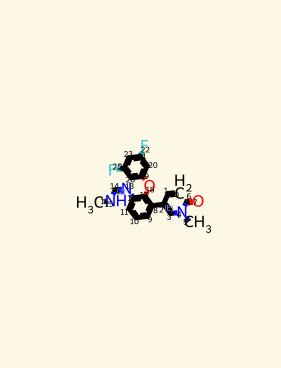 C=C/C(=C\N(C)C=O)c1cccc(/N=C\NC)c1Oc1cc(F)cc(F)c1